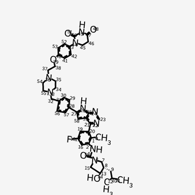 Cc1c(NC(=O)N2C[C@H](CC(C)C)[C@@H](O)C2)cc(F)cc1-c1ncnc2[nH]c(-c3ccc(CN4CCN(CCOc5ccc(N6CCC(=O)NC6=O)cc5)CC4)cc3)cc12